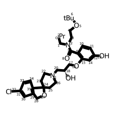 CC(C)CN(CCOC(C)(C)C)C(=O)c1ccc(O)cc1OC[C@H](O)CN1CCC2(CC1)OCc1cc(Cl)ccc12